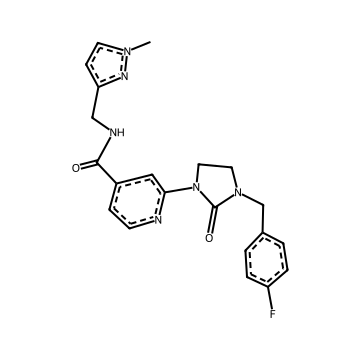 Cn1ccc(CNC(=O)c2ccnc(N3CCN(Cc4ccc(F)cc4)C3=O)c2)n1